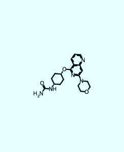 NC(=O)N[C@H]1CC[C@@H](Oc2nc(N3CCOCC3)cc3ncccc23)CC1